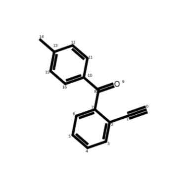 C#Cc1ccccc1C(=O)c1ccc(C)cc1